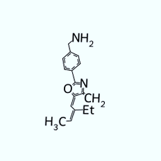 C=c1nc(-c2ccc(CN)cc2)o/c1=C/C(=C\C)CC